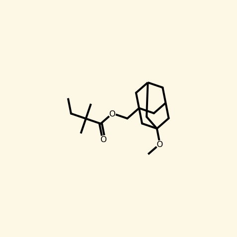 CCC(C)(C)C(=O)OCC12CC3CC(C1)CC(OC)(C3)C2